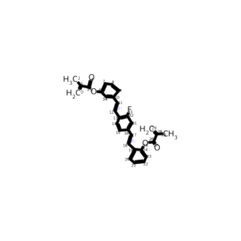 C=C(C)C(=O)Oc1cccc(/C=C/c2ccc(/C=C/c3ccccc3OC(=O)C(=C)C)cc2F)c1